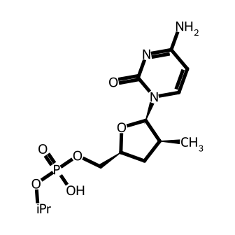 CC(C)OP(=O)(O)OC[C@@H]1C[C@H](C)[C@H](n2ccc(N)nc2=O)O1